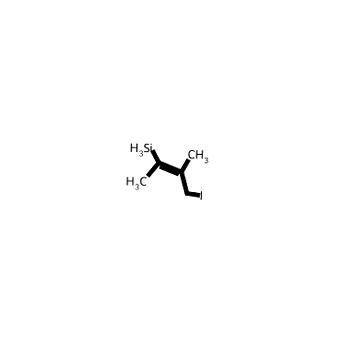 CC([SiH3])=C(C)CI